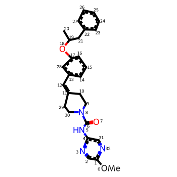 COc1cnc(NC(=O)N2CCC(=Cc3cccc(OC(C)Cc4ccccc4)c3)CC2)cn1